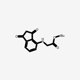 CC(C)(C)OC(=O)CNc1cccc2c1C(=O)CC2=O